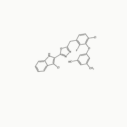 Cc1cc(C#N)cc(Oc2c(Cl)ccc(Cc3nnc(-c4[nH]c5ccccc5c4Cl)o3)c2F)c1